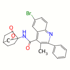 Cc1c(-c2ccccc2)nc2ccc(Br)cc2c1C(=O)NC12CCC(CC1=O)CC2=O